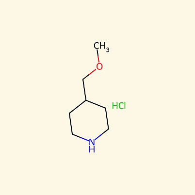 COCC1CCNCC1.Cl